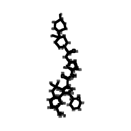 CC1CCN(C2(C)CCN(C(=O)Cc3csc(NC(=O)c4nn(C5CCCCO5)c5c4C(C)(C)Cc4cnc(N)nc4-5)n3)CC2)CC1